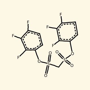 O=S(=O)(CS(=O)(=O)Oc1ccc(F)c(F)c1F)Oc1ccc(F)c(F)c1F